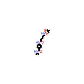 CC(C)NC(=O)c1ccc(NC(=O)CCCCNS(=O)(=O)C(C)(C)C)cc1